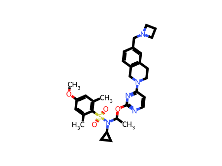 COc1cc(C)c(S(=O)(=O)N(C2CC2)C(C)Oc2nccc(N3CCc4cc(CN5CCC5)ccc4C3)n2)c(C)c1